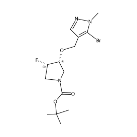 Cn1ncc(CO[C@@H]2CN(C(=O)OC(C)(C)C)C[C@@H]2F)c1Br